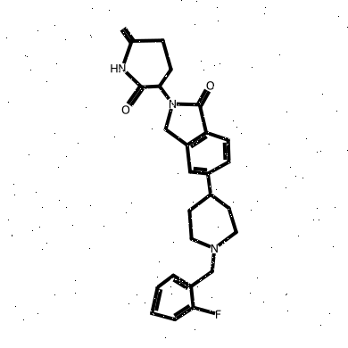 C=C1CCC(N2Cc3cc(C4CCN(Cc5ccccc5F)CC4)ccc3C2=O)C(=O)N1